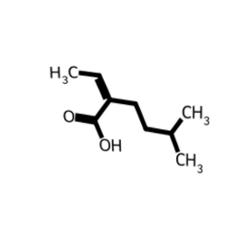 CC=C(CCC(C)C)C(=O)O